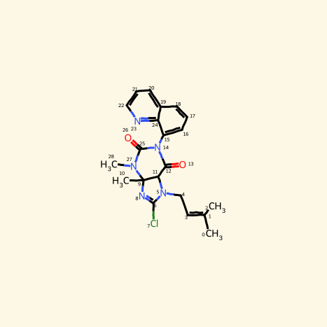 CC(C)=CCN1C(Cl)=NC2(C)C1C(=O)N(c1cccc3cccnc13)C(=O)N2C